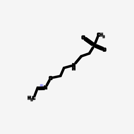 C/C=N/OCCNCCS(C)(=O)=O